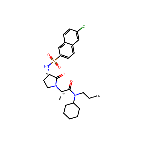 C[C@@H](C(=O)N(CCC#N)C1CCCCC1)N1CC[C@H](NS(=O)(=O)c2ccc3cc(Cl)ccc3c2)C1=O